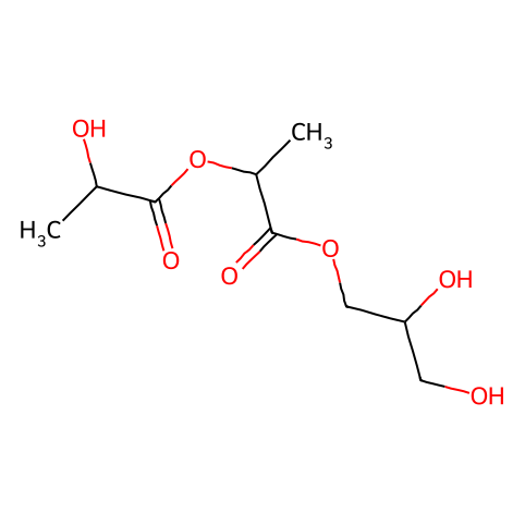 CC(O)C(=O)OC(C)C(=O)OCC(O)CO